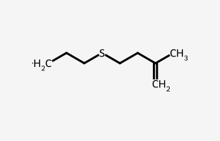 [CH2]CCSCCC(=C)C